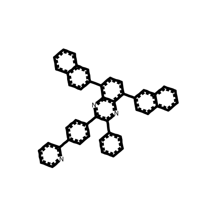 c1ccc(-c2nc3c(-c4ccc5ccccc5c4)ccc(-c4ccc5ccccc5c4)c3nc2-c2ccc(-c3ccccn3)cc2)cc1